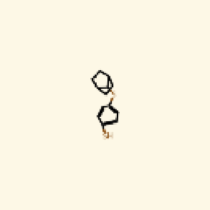 Sc1ccc(SC2C3CCC2CC3)cc1